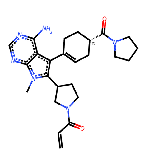 C=CC(=O)N1CCC(c2c(C3=CC[C@@H](C(=O)N4CCCC4)CC3)c3c(N)ncnc3n2C)C1